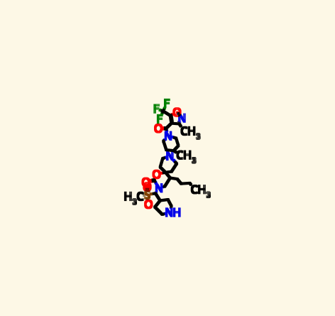 CCCCC1CN(C(C2CCNCC2)S(C)(=O)=O)C(=O)OC12CCN(C1(C)CCN(C(=O)c3c(C)noc3C(F)(F)F)CC1)CC2